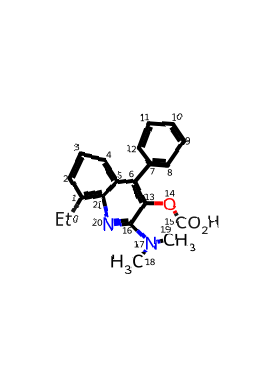 CCc1cccc2c(-c3ccccc3)c(OC(=O)O)c(N(C)C)nc12